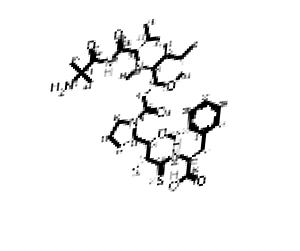 CC[C@H](C)[C@@H]([C@@H](CC(=O)N1CCC[C@H]1[C@H](OC)[C@@H](C)C(=S)N[C@@H](Cc1ccccc1)C(=O)O)OC)N(C)[C@H](C(=O)NC(=O)C(C)(C)N)C(C)C